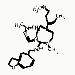 C/C=C(\C/C=N\C)C1=CCN(C)C(NCC2C=CC=C3OCCC3=C2)N(/C=N\N(C)C)CC1